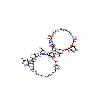 Cc1ccc(C[C@H]2C(=O)NCCCCCCCCc3nc(no3)COc3cc(CC(C)C[C@H]4NC(=O)c5ccc(F)cc5OCC(=O)NCCCCCCCCNC(=O)C(C)(C)N(C)C(=O)[C@H]5CCCN5C4=O)ccc3C(=O)N[C@H](CC(C)C)C(=O)N3CCC[C@@H]3C(=O)N2C)cn1